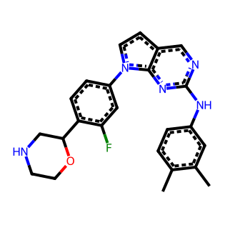 Cc1ccc(Nc2ncc3ccn(-c4ccc(C5CNCCO5)c(F)c4)c3n2)cc1C